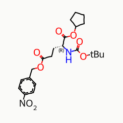 CC(C)(C)OC(=O)N[C@H](CCC(=O)OCc1ccc([N+](=O)[O-])cc1)C(=O)OC1CCCC1